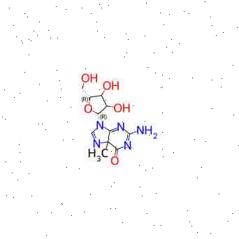 CC12N=CN([C@@H]3O[C@H](CO)C(O)C3O)C1=NC(N)=NC2=O